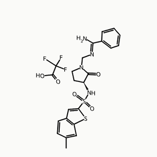 Cc1ccc2cc(S(=O)(=O)N[C@H]3CCN(CN=C(N)c4ccccc4)C3=O)sc2c1.O=C(O)C(F)(F)F